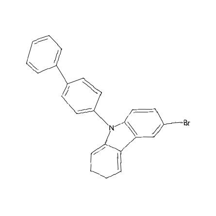 Brc1ccc2c(c1)c1c(n2-c2ccc(-c3ccccc3)cc2)=CCCC=1